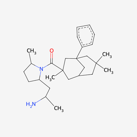 CC(N)CC1CCC(C)N1C(=O)C1(C)CC2CC(C)(C)CC(c3ccccc3)(C2)C1